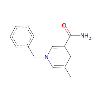 CC1=CN(Cc2ccccc2)C=C(C(N)=O)C1